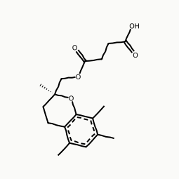 Cc1cc(C)c2c(c1C)O[C@](C)(COC(=O)CCC(=O)O)CC2